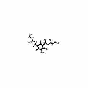 Nc1c(I)c(C(=O)NC(O)CCO)c(I)c(C(=O)NC(O)CCO)c1I